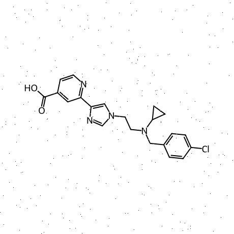 O=C(O)c1ccnc(-c2cn(CCN(Cc3ccc(Cl)cc3)C3CC3)cn2)c1